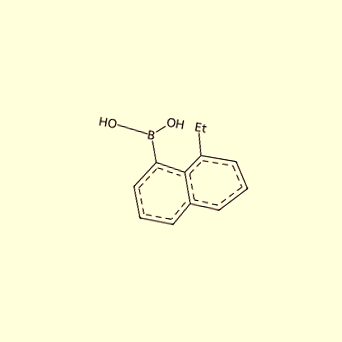 CCc1cccc2cccc(B(O)O)c12